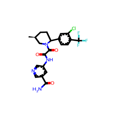 C[C@H]1CCC(c2ccc(C(F)(F)F)c(Cl)c2)N(C(=O)C(=O)Nc2cncc(C(N)=O)c2)C1